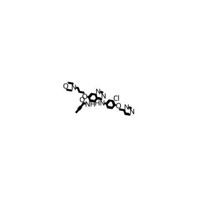 CC#CC(=O)Nc1cc2c(Nc3ccc(OCc4ccncn4)c(Cl)c3)ncnc2cc1OCCCN1CCOCC1